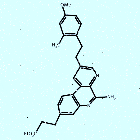 CCOC(=O)CCc1ccc2c(c1)nc(N)c1ncc(CCc3ccc(OC)cc3C)cc12